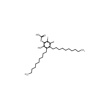 CCCCCCCCCCc1c(O)c(OC(=O)O)c(I)c(I)c1CCCCCCCCCC